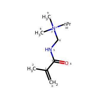 C=C(C)C(=O)NC[N+](C)(C)CCC